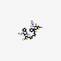 CCN[C@@H](Cc1ccccc1)C(=O)c1cc(I)sc1-c1ccc(-c2ccc(-c3ccc(-c4sc(Cl)cc4N[C@@H](Cc4ccccc4)C(=O)CC)s3)s2)s1